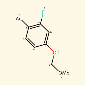 COCOc1ccc(C(C)=O)c(F)c1